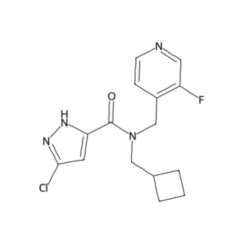 O=C(c1cc(Cl)n[nH]1)N(Cc1ccncc1F)CC1CCC1